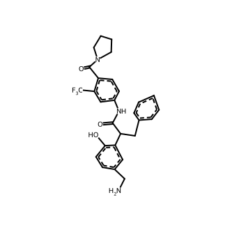 NCc1ccc(O)c(C(Cc2ccccc2)C(=O)Nc2ccc(C(=O)N3CCCC3)c(C(F)(F)F)c2)c1